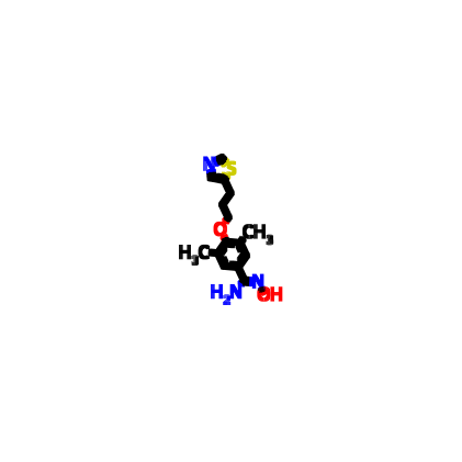 Cc1cc(C(N)=NO)cc(C)c1OCCCc1cncs1